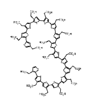 O=C(O)Cc1csc(-c2sc(-c3sc(-c4sc(-c5sc(-c6sc(-c7sc(-c8sc(-c9sc(-c%10sc(-c%11sc(-c%12sc(-c%13sc(-c%14sc(-c%15sc(-c%16sccc%16CC(=O)O)cc%15CC(=O)O)cc%14CC(=O)O)cc%13CC(=O)O)cc%12CC(=O)O)cc%11CC(=O)O)cc%10CC(=O)O)cc9CC(=O)O)cc8CC(=O)O)cc7CC(=O)O)cc6CC(=O)O)cc5CC(=O)O)cc4CC(=O)O)cc3CC(=O)O)cc2CC(=O)O)c1